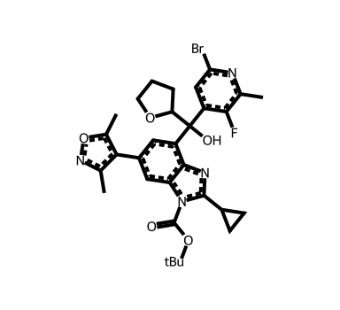 Cc1nc(Br)cc(C(O)(c2cc(-c3c(C)noc3C)cc3c2nc(C2CC2)n3C(=O)OC(C)(C)C)C2CCCO2)c1F